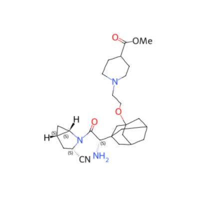 COC(=O)C1CCN(CCOC23CC4CC(C2)CC([C@H](N)C(=O)N2[C@H](C#N)C[C@@H]5C[C@@H]52)(C4)C3)CC1